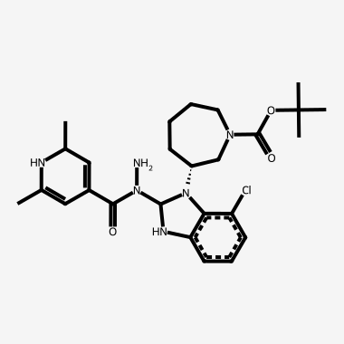 CC1=CC(C(=O)N(N)C2Nc3cccc(Cl)c3N2[C@@H]2CCCCN(C(=O)OC(C)(C)C)C2)=CC(C)N1